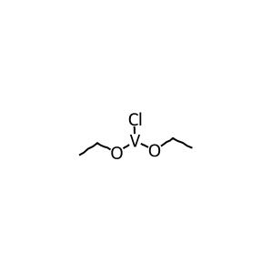 CC[O][V]([Cl])[O]CC